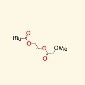 COCC(=O)O[CH]COC(=O)C(C)(C)C